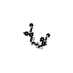 Cc1ccc(-c2cc(C(=O)CC(C)OC(=O)/C=C/C(=O)OC(C)CC(=O)c3cc(C)c(OCCCN4CCCC4)c(-c4ccccc4C)c3)cc(C)c2OCCCN2CCCC2)cc1